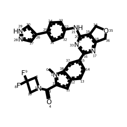 Cn1c(C(=O)N2CC(F)(F)C2)cc2ccc(-c3nc4c(c(Nc5ccc(-c6cn[nH]c6)cc5)n3)COC4)cc21